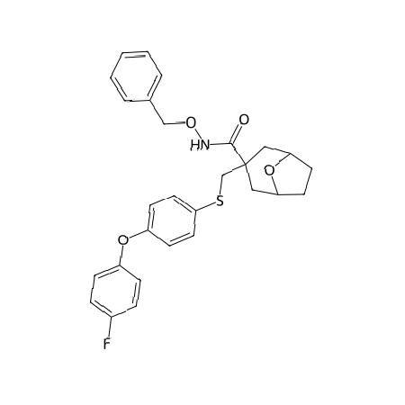 O=C(NOCc1ccccc1)C1(CSc2ccc(Oc3ccc(F)cc3)cc2)CC2CCC(C1)O2